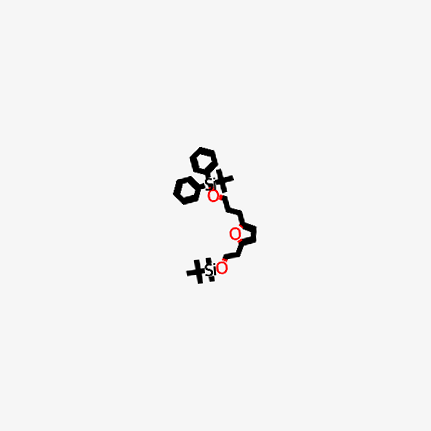 CC(C)(C)[Si](C)(C)OCCc1ccc(CCCO[Si](c2ccccc2)(c2ccccc2)C(C)(C)C)o1